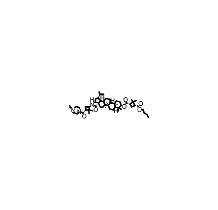 C=C(C)[C@@H]1CC[C@]2(C(=O)N[C@H]3C[C@@H](C(=O)N4CCN(CC)CC4)C3(C)C)CC[C@]3(C)[C@H](CC[C@@H]4[C@@]5(C)CC[C@H](OC(=O)[C@H]6C[C@@H](C(=O)OCCCC)C6(C)C)C(C)(C)[C@@H]5CC[C@]43C)C12